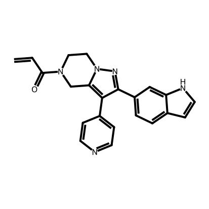 C=CC(=O)N1CCn2nc(-c3ccc4cc[nH]c4c3)c(-c3ccncc3)c2C1